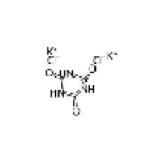 O=c1[nH]c(=O)[nH]c(=O)[nH]1.[Cl-].[Cl-].[K+].[K+]